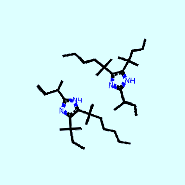 CCCCC(C)(C)c1nc(C(C)CC)[nH]c1C(C)(C)CCC.CCCCCC(C)(C)c1[nH]c(C(C)CC)nc1C(C)(C)CC